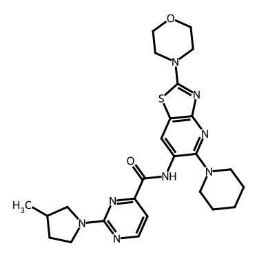 CC1CCN(c2nccc(C(=O)Nc3cc4sc(N5CCOCC5)nc4nc3N3CCCCC3)n2)C1